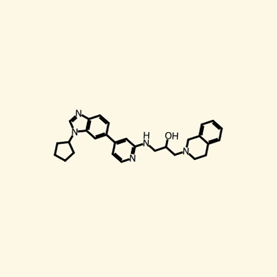 OC(CNc1cc(-c2ccc3ncn(C4CCCC4)c3c2)ccn1)CN1CCc2ccccc2C1